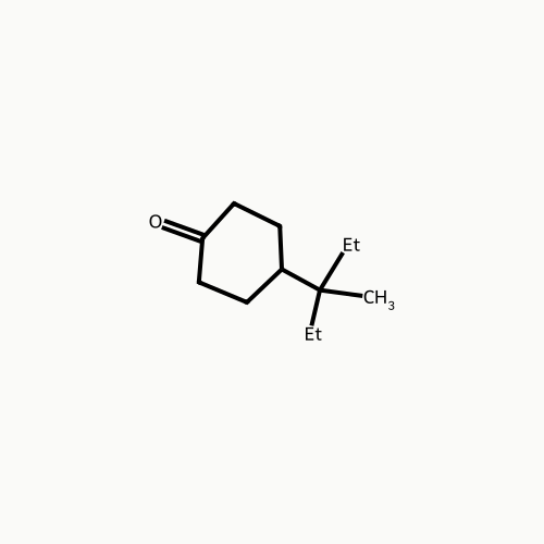 CCC(C)(CC)C1CCC(=O)CC1